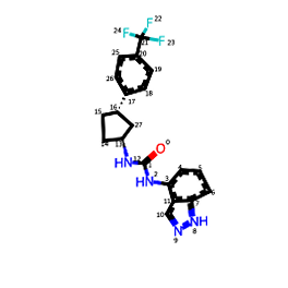 O=C(Nc1cccc2[nH]ncc12)N[C@H]1CC[C@H](c2ccc(C(F)(F)F)cc2)C1